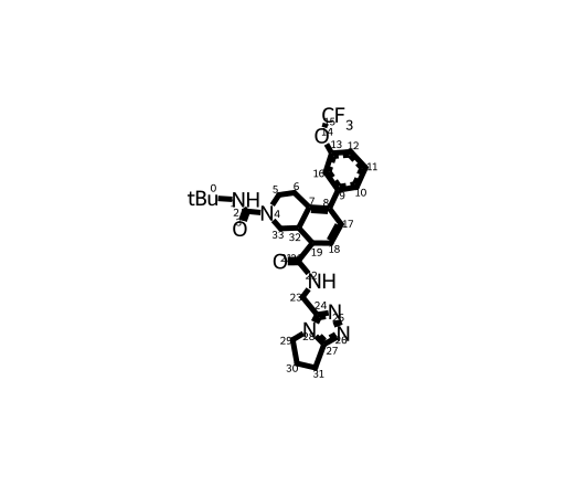 CC(C)(C)NC(=O)N1CCC2=C(c3cccc(OC(F)(F)F)c3)C=CC(C(=O)NCc3nnc4n3CCC4)C2C1